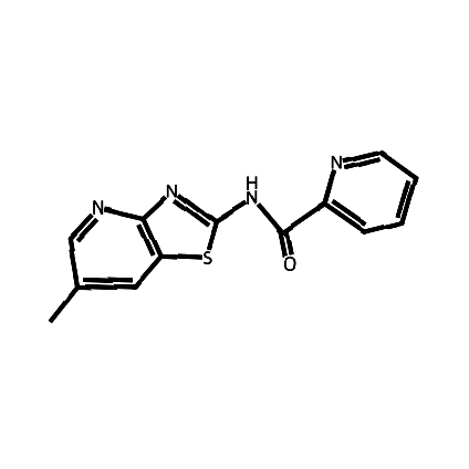 Cc1cnc2nc(NC(=O)c3ccccn3)sc2c1